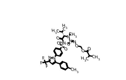 Cc1ccc(-c2cc(C(F)(F)F)nn2-c2ccc(S(=O)(=O)NC(=O)[C@H](C(C)C)N(C)[N+]([O-])=NOCOC(=O)C(C)C)cc2)cc1